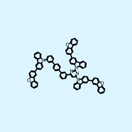 c1cc(-c2ccc(-c3cccc(-n4c5ccccc5c5cc(-c6ccc7oc8ccccc8c7c6)ccc54)c3)cc2)cc(-c2cc(-n3c4ccccc4c4cc(-c5ccc6oc7ccccc7c6c5)ccc43)nc(-n3c4ccccc4c4cc(-c5ccc6oc7ccccc7c6c5)ccc43)n2)c1